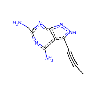 CC#Cc1[nH]nc2nc(N)nc(N)c12